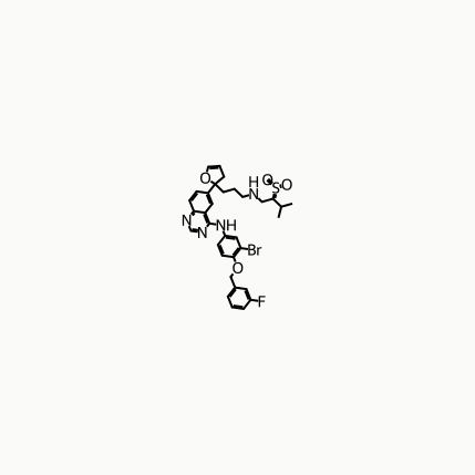 CC(C)C(CNCCCC1(c2ccc3ncnc(Nc4ccc(OCc5cccc(F)c5)c(Br)c4)c3c2)CC=CO1)=S(=O)=O